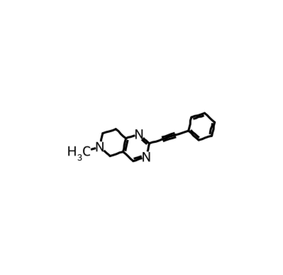 CN1CCc2nc(C#Cc3ccccc3)ncc2C1